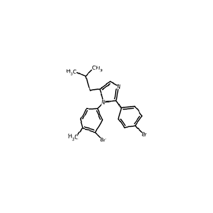 Cc1ccc(-n2c(CC(C)C)cnc2-c2ccc(Br)cc2)cc1Br